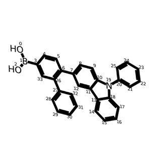 OB(O)c1ccc(-c2ccc3c(c2)c2ccccc2n3-c2ccccc2)c(-c2ccccc2)c1